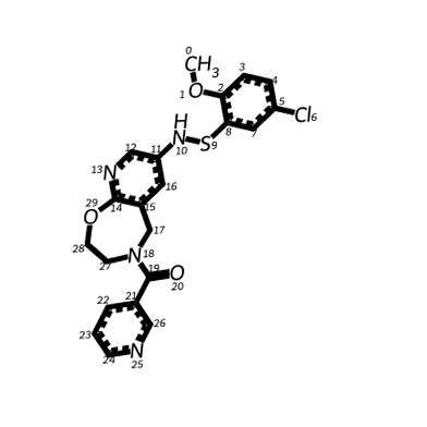 COc1ccc(Cl)cc1SNc1cnc2c(c1)CN(C(=O)c1cccnc1)CCO2